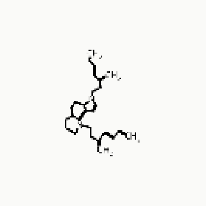 C=CC=CC(=C)CCN1CCCC2CCC3C(=C21)C=CN3CCC(=C)C=CC=C